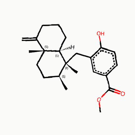 C=C1CCC[C@H]2[C@](C)(Cc3cc(C(=O)OC)ccc3O)[C@@H](C)CC[C@]12C